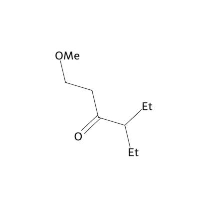 CCC(CC)C(=O)CCOC